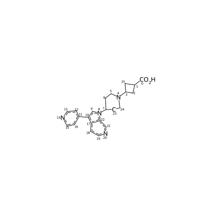 O=C(O)C1CC(N2CCC(n3cc(-c4ccncc4)c4ccncc43)CC2)C1